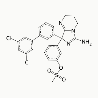 CS(=O)(=O)Oc1cccc(C2(c3cccc(-c4cc(Cl)cc(Cl)c4)c3)N=C(N)N3CCCN=C32)c1